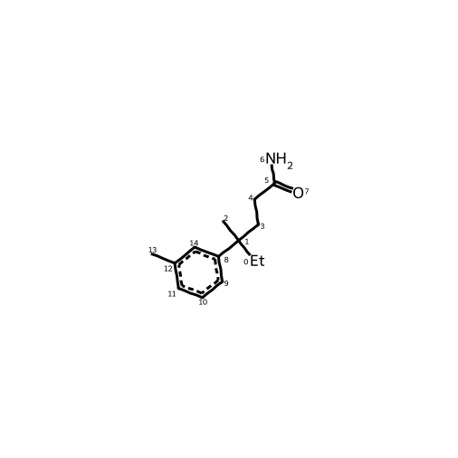 CCC(C)(CCC(N)=O)c1cccc(C)c1